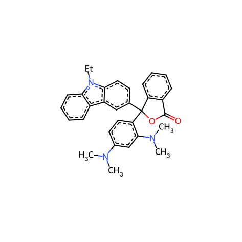 CCn1c2ccccc2c2cc(C3(c4ccc(N(C)C)cc4N(C)C)OC(=O)c4ccccc43)ccc21